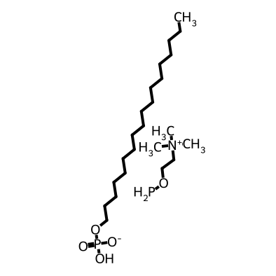 CCCCCCCCCCCCCCCCCCOP(=O)([O-])O.C[N+](C)(C)CCOP